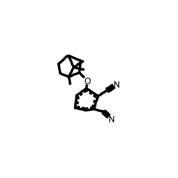 CC1(C)C2CCC1(C)C(Oc1cccc(C#N)c1C#N)C2